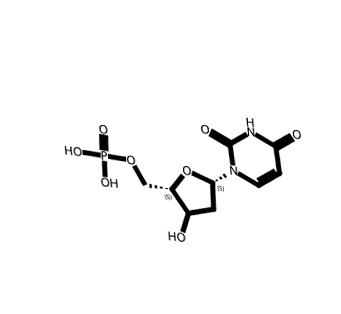 O=c1ccn([C@@H]2CC(O)[C@H](COP(=O)(O)O)O2)c(=O)[nH]1